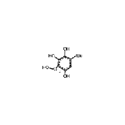 CC(C)(C)c1cc(O)c([SiH2]O)c(O)c1O